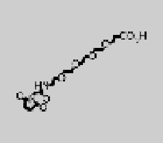 O=C(O)CCOCCOCCOCCOCCNC(=O)CN1C(=O)C=CC1=O